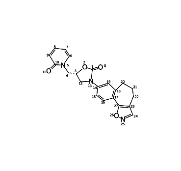 O=C1O[C@@H](Cn2ccccc2=O)CN1c1ccc2c(c1)CCCc1cnoc1-2